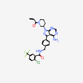 C=CC(=O)N1CCCC(n2nc(-c3ccc(CNC(=O)c4cc(C(F)(F)F)ccc4Cl)cc3)c3c(N)ncnc32)C1